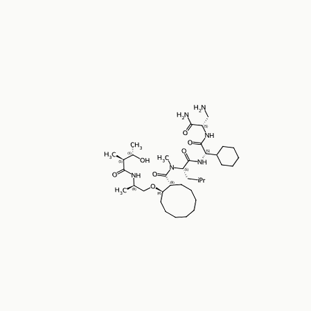 CC(C)C[C@@H](C(=O)N[C@H](C(=O)N[C@@H](CN)C(N)=O)C1CCCCC1)N(C)C(=O)[C@@H]1CCCCCCCC[C@H]1OC[C@@H](C)NC(=O)[C@@H](C)[C@H](C)O